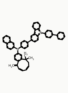 C=C1/C=C\C=C/CC(C)(C)c2cc(N(c3ccc(-c4ccc5c(c4)c4ccccc4n5-c4ccc(-c5ccccc5)cc4)cc3)c3ccc4ccccc4c3)ccc21